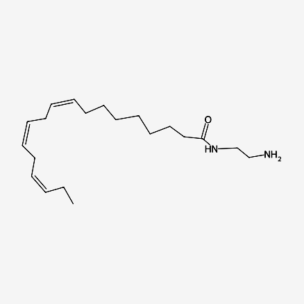 CC/C=C\C/C=C\C/C=C\CCCCCCCC(=O)NCCN